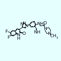 CN1CCN(C(=O)CNc2ccc(-n3cc(-c4cc5cc(F)c(F)cc5[nH]c4=O)nn3)cc2C=N)CC1